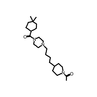 CC(=O)N1CCC(CCCCN2CCN(C(=O)C3CCC(C)(C)CC3)CC2)CC1